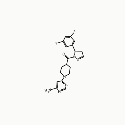 Nc1cc(N2CCC(C(=O)N3N=CCC3c3cc(F)cc(F)c3)CC2)ncn1